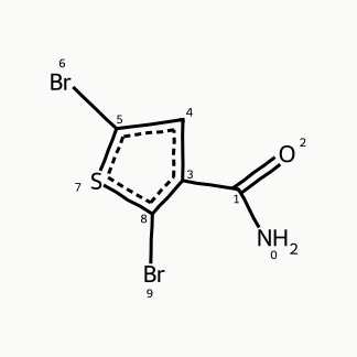 NC(=O)c1cc(Br)sc1Br